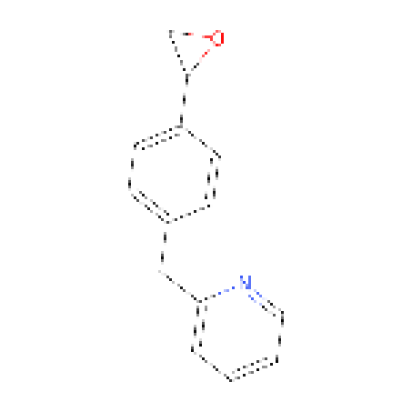 c1ccc(Cc2ccc(C3CO3)cc2)nc1